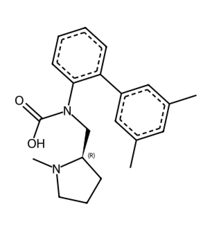 Cc1cc(C)cc(-c2ccccc2N(C[C@H]2CCCN2C)C(=O)O)c1